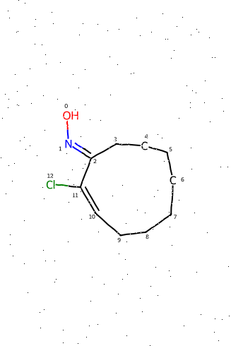 ON=C1CCCCCCCC=C1Cl